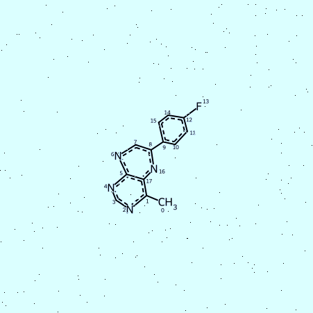 Cc1ncnc2ncc(-c3ccc(F)cc3)nc12